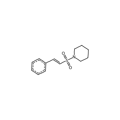 O=S(=O)(C=Cc1ccccc1)N1CCCCC1